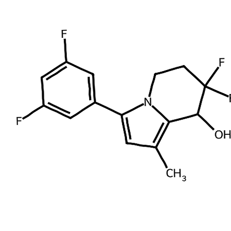 Cc1cc(-c2cc(F)cc(F)c2)n2c1C(O)C(F)(F)CC2